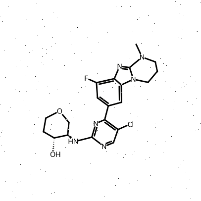 CN1CCCn2c1nc1c(F)cc(-c3nc(N[C@@H]4COCC[C@H]4O)ncc3Cl)cc12